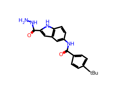 CC(C)(C)c1ccc(C(=O)Nc2ccc3[nH]c(C(=O)NN)cc3c2)cc1